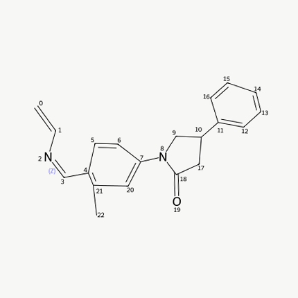 C=C/N=C\c1ccc(N2CC(c3ccccc3)CC2=O)cc1C